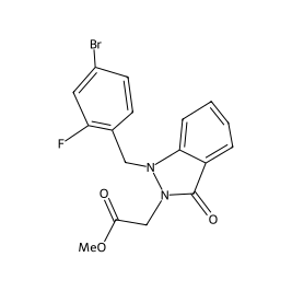 COC(=O)Cn1c(=O)c2ccccc2n1Cc1ccc(Br)cc1F